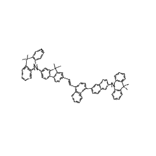 CC1(C)c2cc(/C=C/c3ccc(-c4ccc5cc(N6c7ccccc7C(C)(C)c7ccccc76)ccc5c4)c4ccccc34)ccc2-c2ccc(N3c4ccccc4C(C)(C)c4ccccc43)cc21